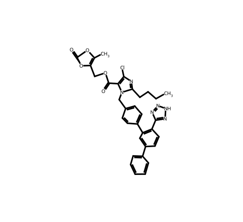 CCCCc1nc(Cl)c(C(=O)OCc2oc(=O)oc2C)n1Cc1ccc(-c2cc(-c3ccccc3)ccc2-c2nn[nH]n2)cc1